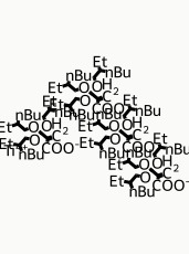 C=C(C(=O)[O-])C(OCC(CC)CCCC)(OCC(CC)CCCC)OCC(CC)CCCC.C=C(C(=O)[O-])C(OCC(CC)CCCC)(OCC(CC)CCCC)OCC(CC)CCCC.C=C(C(=O)[O-])C(OCC(CC)CCCC)(OCC(CC)CCCC)OCC(CC)CCCC.C=C(C(=O)[O-])C(OCC(CC)CCCC)(OCC(CC)CCCC)OCC(CC)CCCC.[Ti+4]